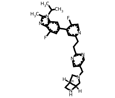 Cc1nc2c(F)cc(-c3cc(CCc4ncc(CN5C[C@H]6CN[C@H]6C5)cn4)ncc3F)cc2n1C(C)C